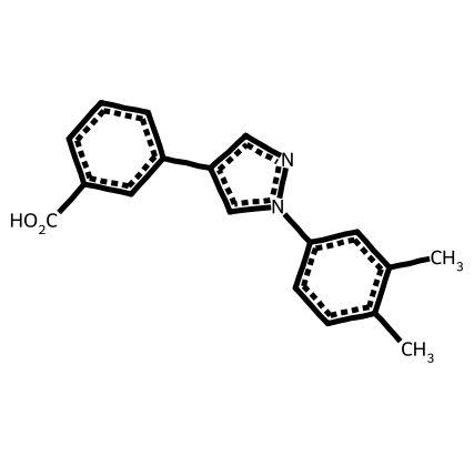 Cc1ccc(-n2cc(-c3cccc(C(=O)O)c3)cn2)cc1C